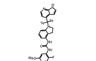 [2H]C([2H])(c1ccnc2[nH]ccc12)N1CCc2c(NC(=O)Nc3cc(OC)ccc3F)cccc21